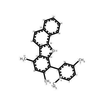 Cc1cc[n+](C)c(-c2c(C)cc(C)c3c2oc2c4ccccc4ccc23)c1